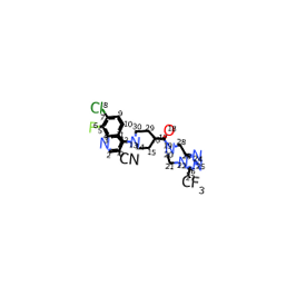 N#Cc1cnc2c(F)c(Cl)ccc2c1N1CCC(C(=O)N2CCn3c(nnc3C(F)(F)F)C2)CC1